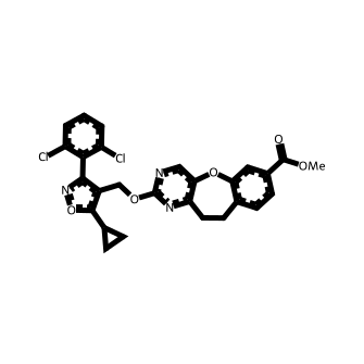 COC(=O)c1ccc2c(c1)Oc1cnc(OCc3c(-c4c(Cl)cccc4Cl)noc3C3CC3)nc1CC2